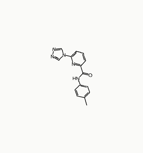 Cc1ccc(NC(=O)c2cccc(-n3cnnc3)n2)cc1